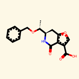 C[C@@H](OCc1ccccc1)[C@H]1Cc2occ(C(=O)O)c2C(=O)N1